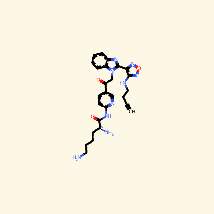 C#CCCNc1nonc1-c1nc2ccccc2n1CC(=O)c1ccc(NC(=O)[C@@H](N)CCCCN)nc1